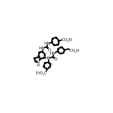 CCOC(=O)c1ccc(NC(=O)Nc2ccc(CC(=O)O)cc2)cc1.CCOC(=O)c1ccc(NC(=O)Nc2ccc3[nH]ccc3c2)cc1